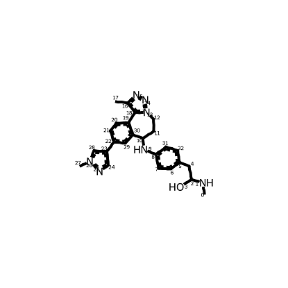 CNC(O)Cc1ccc(NC2CCn3nnc(C)c3-c3ccc(-c4cnn(C)c4)cc32)cc1